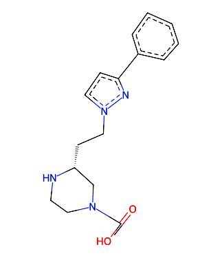 O=C(O)N1CCN[C@H](CCn2ccc(-c3ccccc3)n2)C1